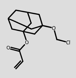 C=CC(=O)OC12CC3CC(CC(OCCl)(C3)C1)C2